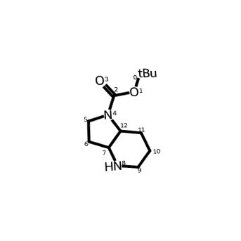 CC(C)(C)OC(=O)N1CCC2NCCCC21